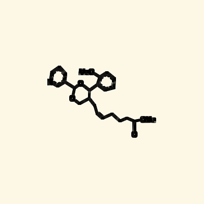 COC(=O)CCC/C=C\CC1COC(c2cccnc2)OC1c1ccccc1OC